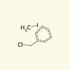 CI.ClCc1ccccc1